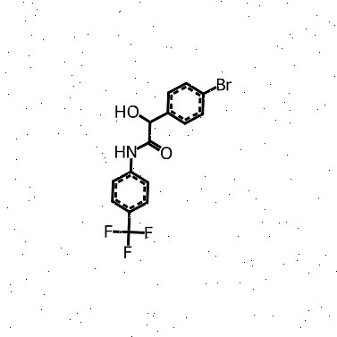 O=C(Nc1ccc(C(F)(F)F)cc1)C(O)c1ccc(Br)cc1